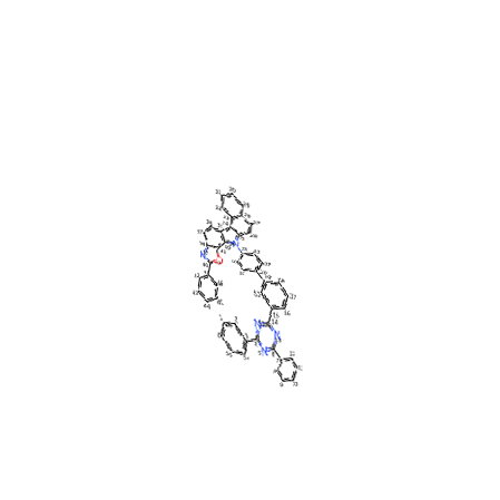 c1ccc(-c2nc(-c3ccccc3)nc(-c3cccc(-c4ccc(-n5c6ccc7ccccc7c6c6ccc7nc(-c8ccccc8)oc7c65)cc4)c3)n2)cc1